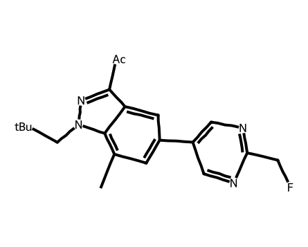 CC(=O)c1nn(CC(C)(C)C)c2c(C)cc(-c3cnc(CF)nc3)cc12